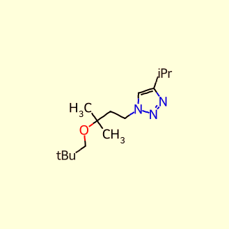 CC(C)c1cn(CCC(C)(C)OCC(C)(C)C)nn1